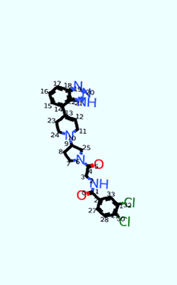 O=C(NCC(=O)N1CCC(N2CC=C(c3cccc4nn[nH]c34)CC2)C1)c1ccc(Cl)c(Cl)c1